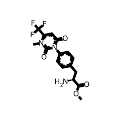 COC(=O)[C@@H](N)Cc1ccc(-n2c(=O)cc(C(F)(F)F)n(C)c2=O)cc1